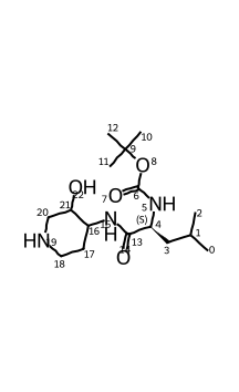 CC(C)C[C@H](NC(=O)OC(C)(C)C)C(=O)NC1CCNCC1O